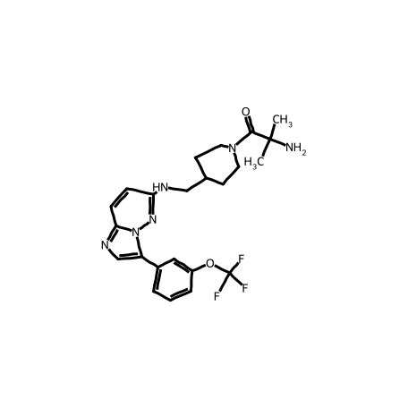 CC(C)(N)C(=O)N1CCC(CNc2ccc3ncc(-c4cccc(OC(F)(F)F)c4)n3n2)CC1